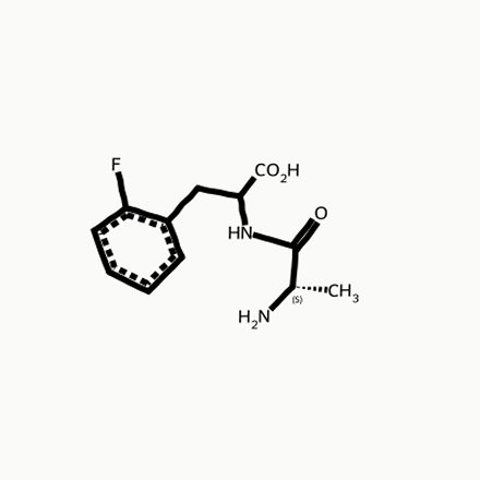 C[C@H](N)C(=O)NC(Cc1ccccc1F)C(=O)O